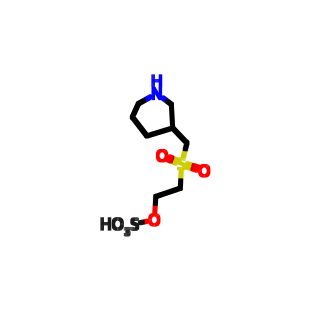 O=S(=O)(CCOS(=O)(=O)O)CC1CCCNC1